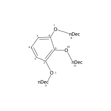 CCCCCCCCCCOc1c[c]cc(OCCCCCCCCCC)c1OCCCCCCCCCC